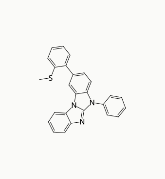 CSc1ccccc1-c1ccc2c(c1)n1c3ccccc3nc1n2-c1ccccc1